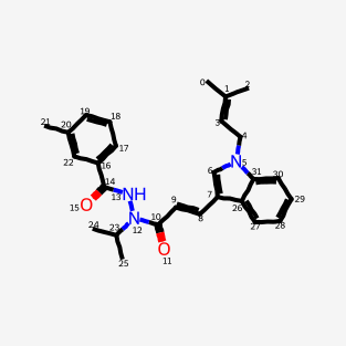 CC(C)=CCn1cc(/C=C/C(=O)N(NC(=O)c2cccc(C)c2)C(C)C)c2ccccc21